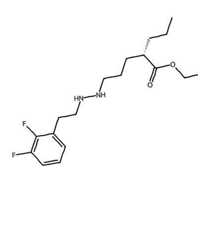 CCC[C@@H](CCCNNCCc1cccc(F)c1F)C(=O)OCC